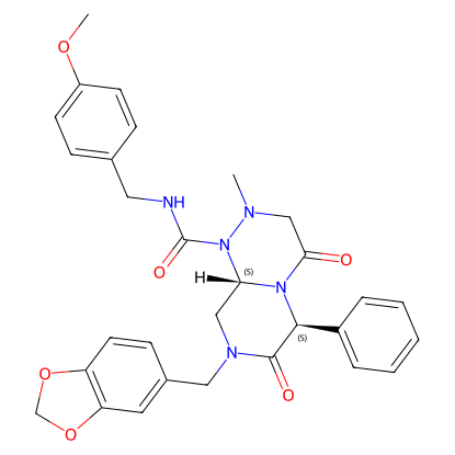 COc1ccc(CNC(=O)N2[C@H]3CN(Cc4ccc5c(c4)OCO5)C(=O)[C@H](c4ccccc4)N3C(=O)CN2C)cc1